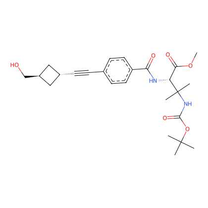 COC(=O)[C@@H](NC(=O)c1ccc(C#C[C@H]2C[C@H](CO)C2)cc1)C(C)(C)NC(=O)OC(C)(C)C